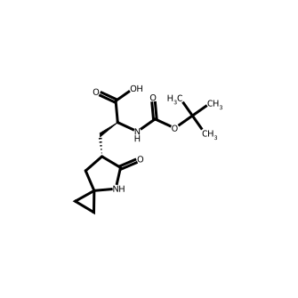 CC(C)(C)OC(=O)N[C@@H](C[C@H]1CC2(CC2)NC1=O)C(=O)O